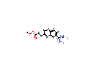 CCOC(=O)CCc1ccc2ccc(C(N)N)cc2c1